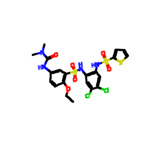 CCOc1ccc(NC(=O)N(C)C)cc1S(=O)(=O)Nc1cc(Cl)c(Cl)cc1NS(=O)(=O)c1cccs1